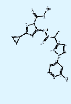 CC(C(=O)Nc1cc(C2CC2)nn1C(=O)OC(C)(C)C)c1ccn(-c2cccc(Cl)c2)n1